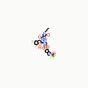 CCCCN1CC(C(=O)NC(Cc2cc(F)cc(F)c2)[C@H](O)[C@H]2CN(S(=O)(=O)c3ccc4c(c3)CN(C(=O)C(F)(F)F)CC4)CCN2)CC1=O